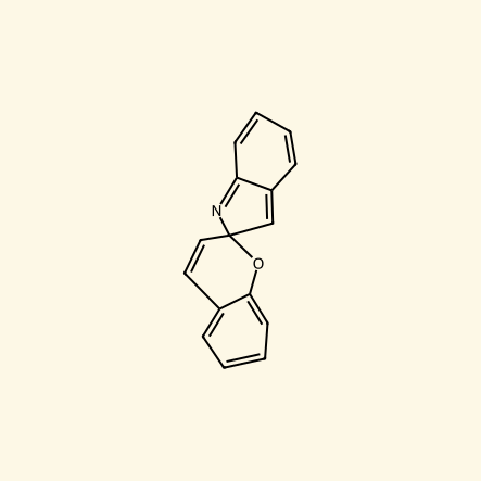 C1=CC2(C=c3ccccc3=N2)Oc2ccccc21